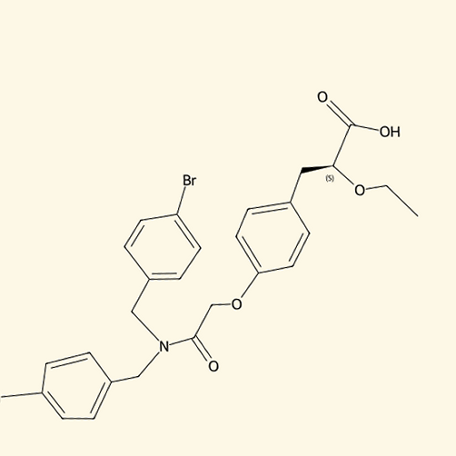 CCO[C@@H](Cc1ccc(OCC(=O)N(Cc2ccc(Cl)cc2)Cc2ccc(Br)cc2)cc1)C(=O)O